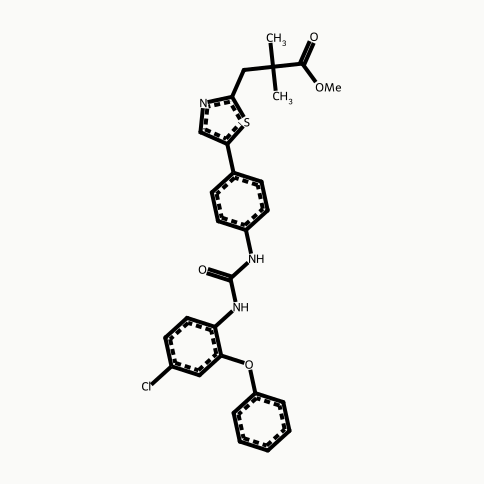 COC(=O)C(C)(C)Cc1ncc(-c2ccc(NC(=O)Nc3ccc(Cl)cc3Oc3ccccc3)cc2)s1